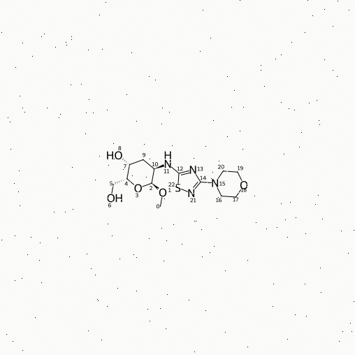 CO[C@H]1O[C@H](CO)[C@H](O)C[C@H]1Nc1nc(N2CCOCC2)ns1